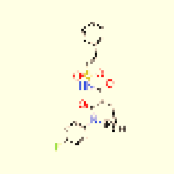 C#CCC(C(=O)NS(=O)(=O)C=Cc1ccccc1)C(=O)N(c1ccc(F)cc1)C(C)C